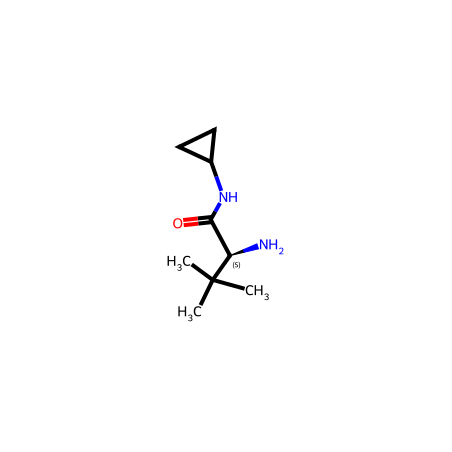 CC(C)(C)[C@H](N)C(=O)NC1CC1